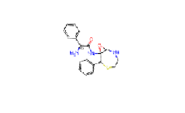 N[C@H](C(=O)NC12OC1NCCSC2c1ccccc1)c1ccccc1